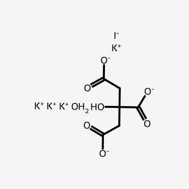 O.O=C([O-])CC(O)(CC(=O)[O-])C(=O)[O-].[I-].[K+].[K+].[K+].[K+]